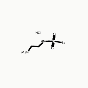 CCS(=O)(=O)NCCNC.Cl